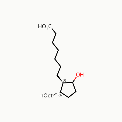 CCCCCCCC[C@H]1CCC(O)[C@@H]1CCCCCCC(=O)O